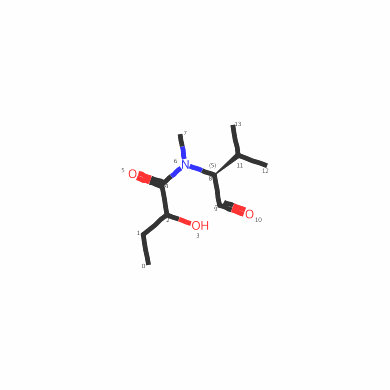 CCC(O)C(=O)N(C)[C@H]([C]=O)C(C)C